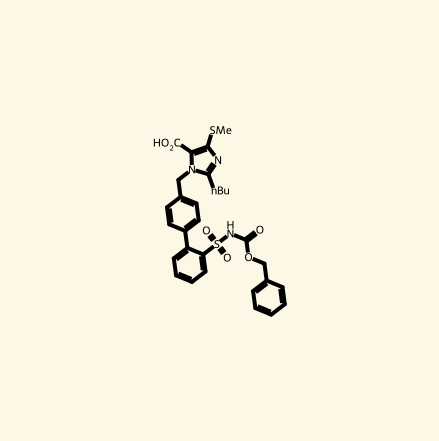 CCCCc1nc(SC)c(C(=O)O)n1Cc1ccc(-c2ccccc2S(=O)(=O)NC(=O)OCc2ccccc2)cc1